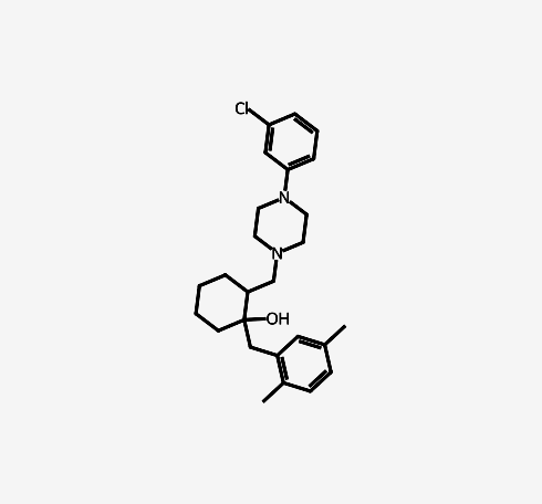 Cc1ccc(C)c(CC2(O)CCCCC2CN2CCN(c3cccc(Cl)c3)CC2)c1